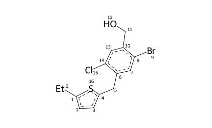 CCc1ccc(Cc2cc(Br)c(CO)cc2Cl)s1